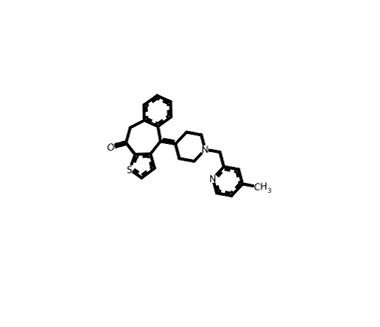 Cc1ccnc(CN2CCC(=C3c4ccccc4CC(=O)c4sccc43)CC2)c1